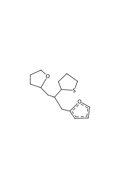 c1coc(C[C](CC2CCCO2)C2CCCS2)c1